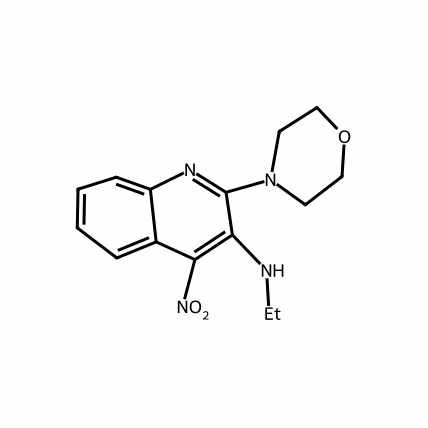 CCNc1c(N2CCOCC2)nc2ccccc2c1[N+](=O)[O-]